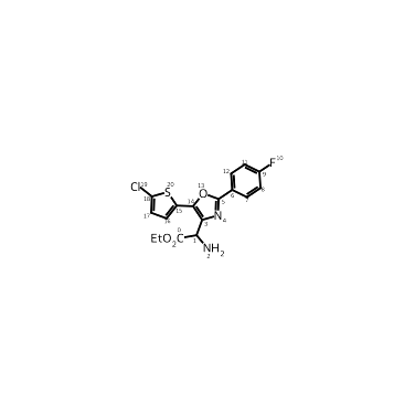 CCOC(=O)C(N)c1nc(-c2ccc(F)cc2)oc1-c1ccc(Cl)s1